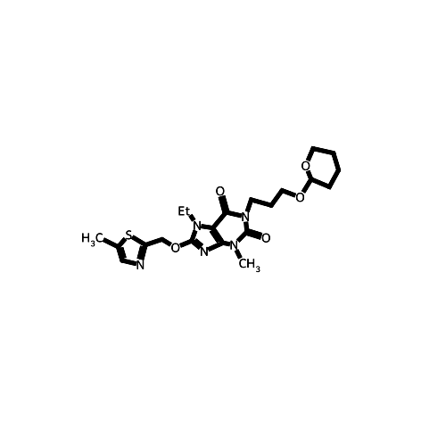 CCn1c(OCc2ncc(C)s2)nc2c1c(=O)n(CCCOC1CCCCO1)c(=O)n2C